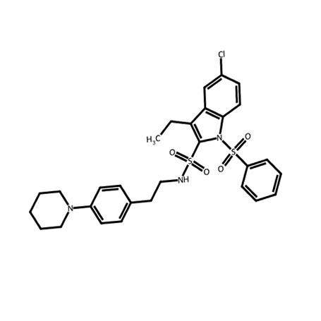 CCc1c(S(=O)(=O)NCCc2ccc(N3CCCCC3)cc2)n(S(=O)(=O)c2ccccc2)c2ccc(Cl)cc12